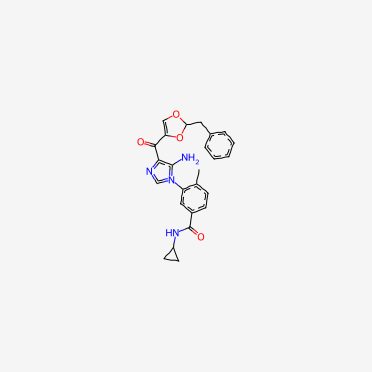 Cc1ccc(C(=O)NC2CC2)cc1-n1cnc(C(=O)C2=COC(Cc3ccccc3)O2)c1N